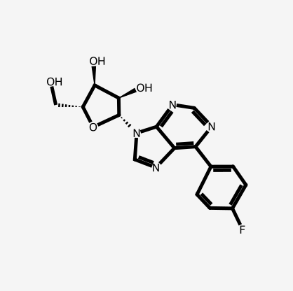 OC[C@H]1O[C@@H](n2cnc3c(-c4ccc(F)cc4)ncnc32)[C@H](O)[C@@H]1O